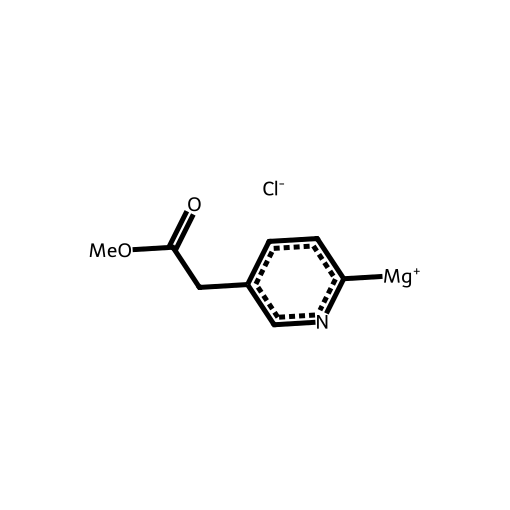 COC(=O)Cc1cc[c]([Mg+])nc1.[Cl-]